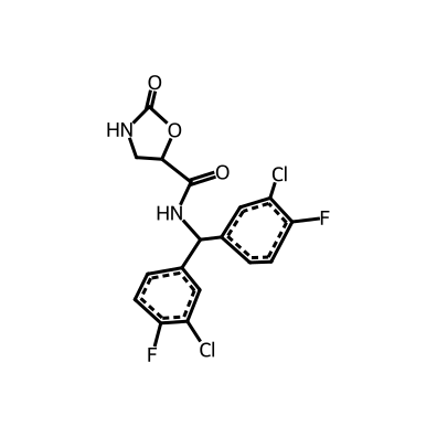 O=C1NCC(C(=O)NC(c2ccc(F)c(Cl)c2)c2ccc(F)c(Cl)c2)O1